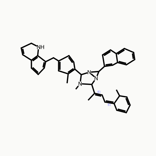 C/C(=C\C=C1\C=CC=CC1C)C1N(C)C(c2ccc(Cc3cccc4c3NCC=C4)cc2C)N2C(c3ccc4ccccc4c3)N12